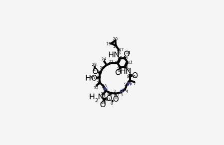 CO[C@H]1/C=C\C=C(/C)C(=O)NC2=CC(=O)C(NCC3CC3)=C(CC(C)C[C@H](OC)[C@H](O)C(C)/C=C(\C)[C@@H]1OC(N)=O)C2=O